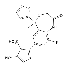 CC1(c2cccs2)OCC(=O)Nc2c(F)cc(-c3ccc(C#N)n3C(=O)O)cc21